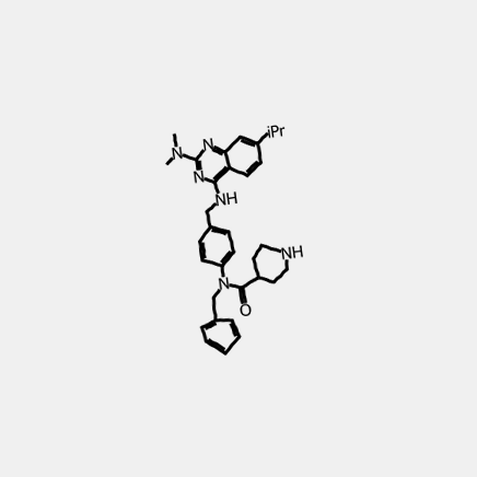 CC(C)c1ccc2c(NCc3ccc(N(Cc4ccccc4)C(=O)C4CCNCC4)cc3)nc(N(C)C)nc2c1